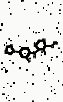 Cc1c(Nc2ccc(-n3cncn3)cc2F)ncnc1OC(C)C